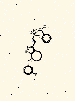 C[C@H](NS(=O)(=O)/C=C/c1n[nH]c2c1CCCC[C@H]2Cc1cccc(F)c1)c1ccccc1